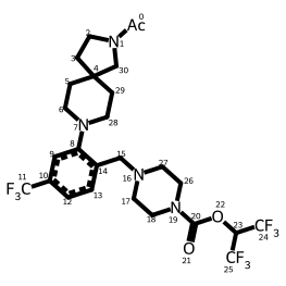 CC(=O)N1CCC2(CCN(c3cc(C(F)(F)F)ccc3CN3CCN(C(=O)OC(C(F)(F)F)C(F)(F)F)CC3)CC2)C1